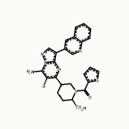 Nc1c(Br)c(C2CCC(C(=O)O)N(C(=O)c3cccs3)C2)nc2c(-c3cnc4ccccc4c3)cnn12